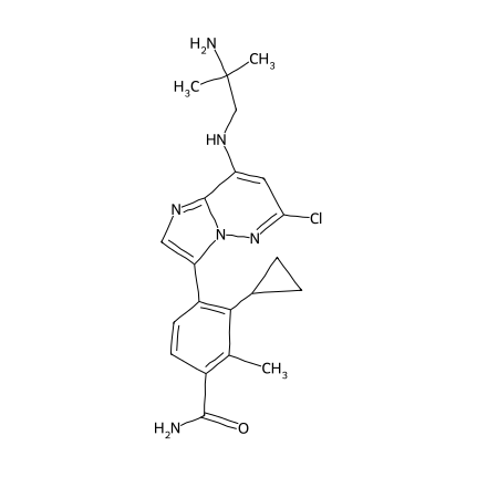 Cc1c(C(N)=O)ccc(-c2cnc3c(NCC(C)(C)N)cc(Cl)nn23)c1C1CC1